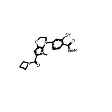 CNC(=O)c1ccc(N2CCOc3cc(C(=O)N4CCC4)n(C)c32)cc1S